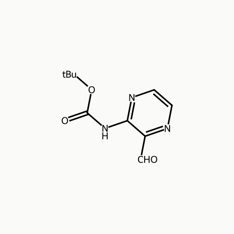 CC(C)(C)OC(=O)Nc1nccnc1C=O